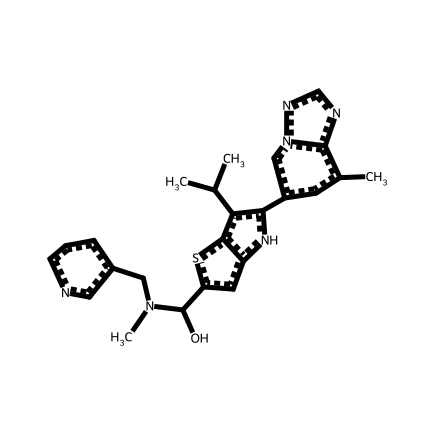 Cc1cc(-c2[nH]c3cc(C(O)N(C)Cc4cccnc4)sc3c2C(C)C)cn2ncnc12